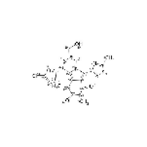 Cc1nc(-c2c3c(=O)n(C)c(=O)n(C)c3c3n2C[C@@H](CO)S[C@H]3c2ccc(Cl)o2)cs1